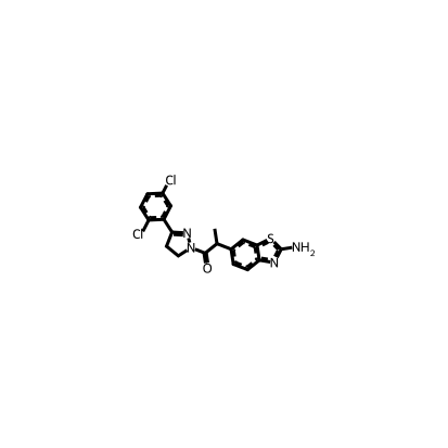 CC(C(=O)N1CCC(c2cc(Cl)ccc2Cl)=N1)c1ccc2nc(N)sc2c1